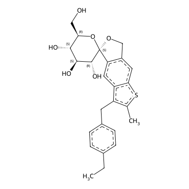 CCc1ccc(Cc2c(C)sc3cc4c(cc23)[C@]2(OC4)O[C@H](CO)[C@@H](O)[C@H](O)[C@H]2O)cc1